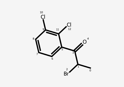 CC(Br)C(=O)c1cccc(Cl)c1Cl